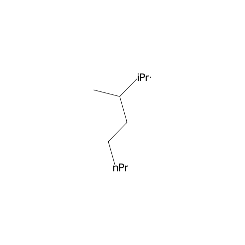 [CH2]CCCCC(C)[C](C)C